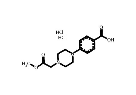 COC(=O)CN1CCN(c2ccc(C(=O)O)cc2)CC1.Cl.Cl